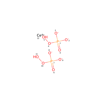 O=P([O-])([O-])OO.O=P([O-])([O-])OO.[Ce+4]